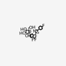 OC[C@H]1O[C@@H](c2ccc(C(F)(F)F)c(Cc3ncc(-c4ccc(F)cc4)s3)c2)[C@H](O)[C@@H](O)[C@@H]1O